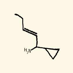 CCC=CC(N)C1CC1